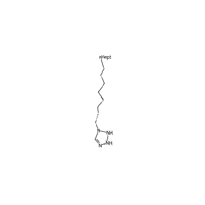 CCCCCCCCCCCCCCCN1C=NNN1